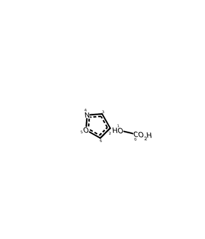 O=C(O)O.c1cnoc1